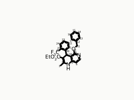 CCOC(=O)C1=C(C)Nc2ccnc(OCc3ccccc3)c2C1c1ccccc1C(F)(F)F